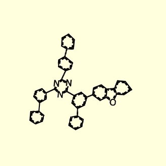 c1ccc(-c2ccc(-c3nc(-c4cccc(-c5ccccc5)c4)nc(-c4cc(-c5ccccc5)cc(-c5ccc6c(c5)oc5ccccc56)c4)n3)cc2)cc1